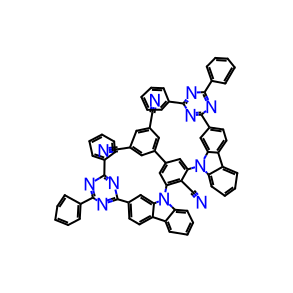 N#Cc1cc(C#N)cc(-c2cc(-n3c4ccccc4c4ccc(-c5nc(-c6ccccc6)nc(-c6ccccc6)n5)cc43)c(C#N)c(-n3c4ccccc4c4ccc(-c5nc(-c6ccccc6)nc(-c6ccccc6)n5)cc43)c2)c1